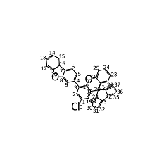 Clc1cc(-c2ccc3c(c2)oc2ccccc23)c2c(c1)C1(c3ccccc3O2)c2ccccc2-c2ccccc21